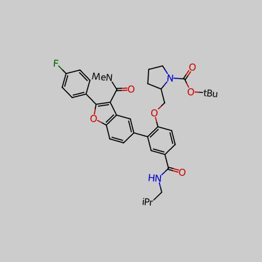 CNC(=O)c1c(-c2ccc(F)cc2)oc2ccc(-c3cc(C(=O)NCC(C)C)ccc3OCC3CCCN3C(=O)OC(C)(C)C)cc12